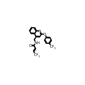 O=C(/C=C/C(F)(F)F)NCc1cc(Oc2ccc(C(F)(F)F)cc2)nc2ccccc12